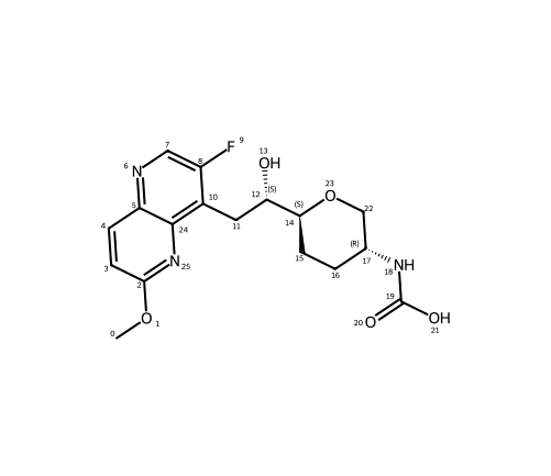 COc1ccc2ncc(F)c(C[C@H](O)[C@@H]3CC[C@@H](NC(=O)O)CO3)c2n1